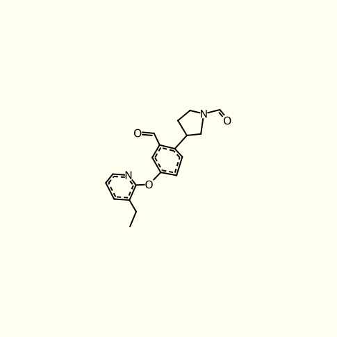 CCc1cccnc1Oc1ccc(C2CCN(C=O)C2)c(C=O)c1